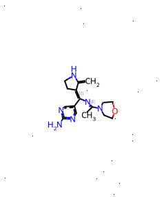 C=C1NCC/C1=C(/N=C(\C)N1CCOCC1)c1cnc(N)nc1